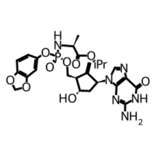 C=C1[C@H](COP(=O)(N[C@@H](C)C(=O)OC(C)C)Oc2ccc3c(c2)OCO3)[C@@H](O)C[C@@H]1n1cnc2c(=O)[nH]c(N)nc21